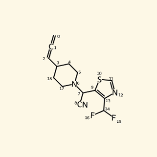 C=C=CC1CCN(C(C#N)c2scnc2C(F)F)CC1